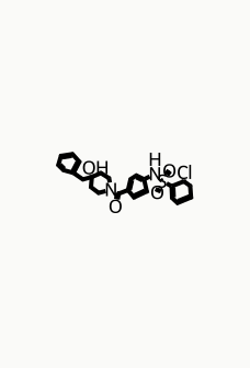 O=C(c1ccc(NS(=O)(=O)C2=CC=CCC2Cl)cc1)N1CCC(O)(Cc2ccccc2)CC1